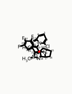 Cc1nc2cccc(Cl)n2c1C(=O)N1C2CCC1c1nn(C)c(-c3cc(F)c(F)c(F)c3)c1C2